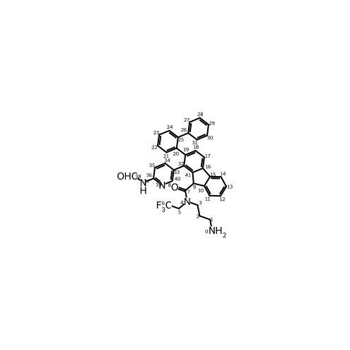 NCCCN(CC(F)(F)F)C(=O)C1c2ccccc2-c2ccc(-c3ccccc3-c3ccccc3)c(-c3ccc(NC=O)nc3)c21